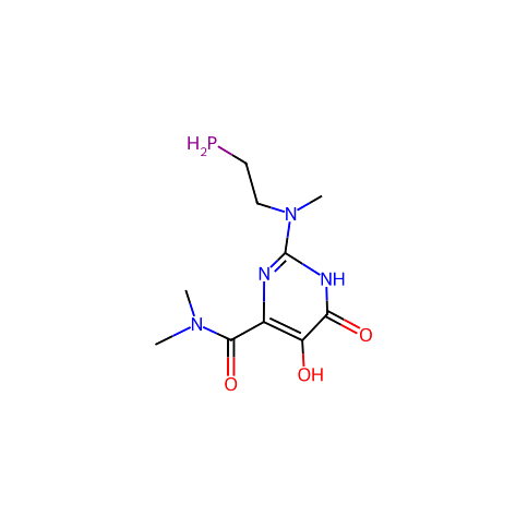 CN(C)C(=O)c1nc(N(C)CCP)[nH]c(=O)c1O